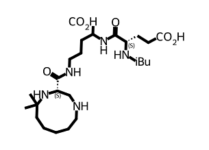 CCC(C)N[C@@H](CCC(=O)O)C(=O)NC(CCCNC(=O)[C@@H]1CNCCCCCC(C)(C)N1)C(=O)O